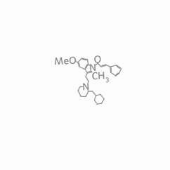 COc1ccc2c(c1)c(CCN1CCCCC1CC1CCCCC1)c(C)n2C(=O)C=Cc1ccccc1